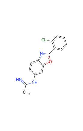 CC(=N)Nc1ccc2nc(-c3ccccc3Cl)oc2c1